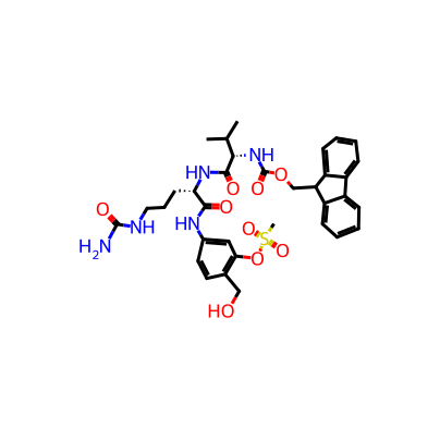 CC(C)[C@H](NC(=O)OCC1c2ccccc2-c2ccccc21)C(=O)N[C@@H](CCCNC(N)=O)C(=O)Nc1ccc(CO)c(OS(C)(=O)=O)c1